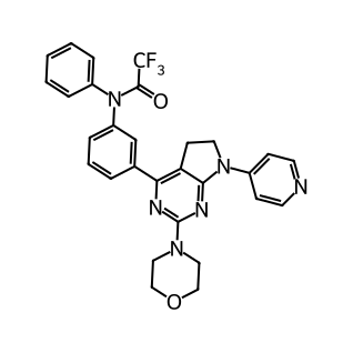 O=C(N(c1ccccc1)c1cccc(-c2nc(N3CCOCC3)nc3c2CCN3c2ccncc2)c1)C(F)(F)F